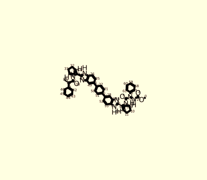 COC(=O)NN(C(=O)N1[C@H]2CC[C@H](C2)[C@H]1c1nc2cc(-c3ccc(-c4ccc5[nH]c(C6[C@@H]7CC[C@@H](C7)N6C(=O)[C@H](C)c6ccccc6)nc5c4)cc3)ccc2[nH]1)c1ccccc1